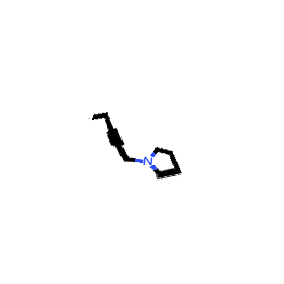 [CH2]CC#CCN1CCCC1